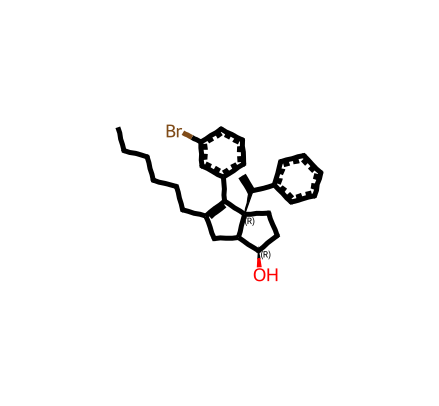 C=C(c1ccccc1)[C@@]12CC[C@@H](O)C1CC(CCCCCC)=C2c1cccc(Br)c1